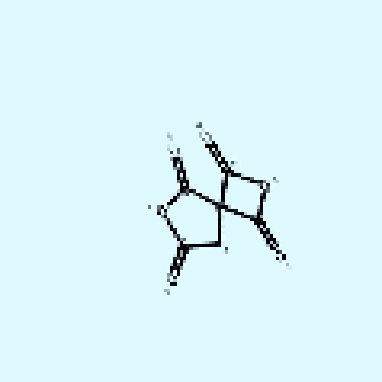 O=C1CC2(C(=O)O1)C(=O)OC2=O